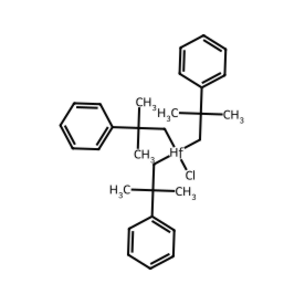 CC(C)([CH2][Hf]([Cl])([CH2]C(C)(C)c1ccccc1)[CH2]C(C)(C)c1ccccc1)c1ccccc1